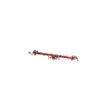 C=C(C)C(=O)OCCOCCOCCOCCOCCOCCOCCOCCOCCOCCOCCOCCOCCOCCOC(=O)C(=C)C.CC(O)CO